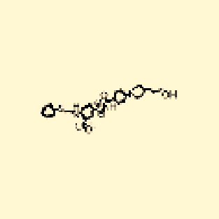 O=C(NS(=O)(=O)c1ccc(NCCSc2ccccc2)c([N+](=O)[O-])c1)c1ccc(N2CCC(CCCO)CC2)cc1